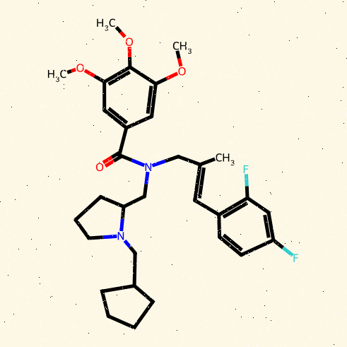 COc1cc(C(=O)N(CC(C)=Cc2ccc(F)cc2F)CC2CCCN2CC2CCCC2)cc(OC)c1OC